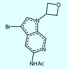 CC(=O)Nc1cc2c(Br)cn(C3COC3)c2cn1